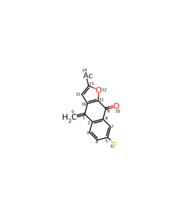 C=C1c2ccc(F)cc2C(=O)c2oc(C(C)=O)cc21